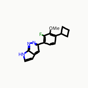 COc1c(C2CCC2)ccc(-c2cc3cc[nH]c3nn2)c1F